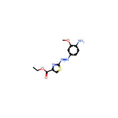 CCOC(=O)c1csc(/N=N/c2ccc(N)c(OC)c2)n1